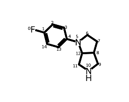 Fc1ccc(N2CCC3CNCC32)cc1